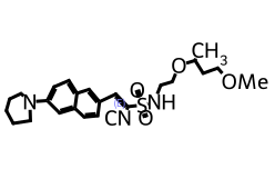 COCCC(C)OCCNS(=O)(=O)/C(C#N)=C/c1ccc2cc(N3CCCCC3)ccc2c1